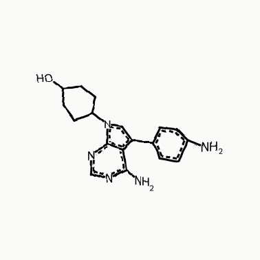 Nc1ccc(-c2cn(C3CCC(O)CC3)c3ncnc(N)c23)cc1